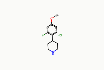 CC(C)Oc1ccc(C2CCNCC2)c(F)c1.Cl